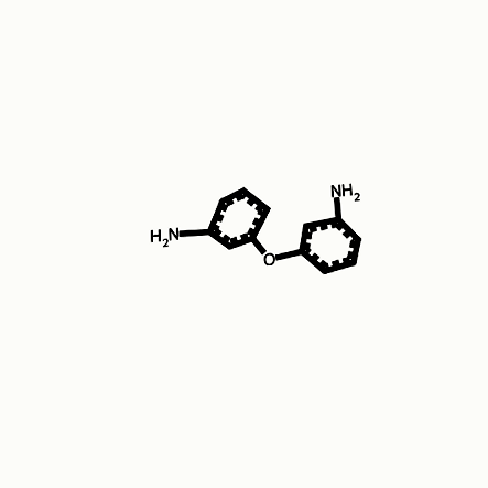 Nc1cccc(Oc2cccc(N)c2)c1